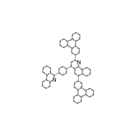 c1ccc2c(c1)nc(-c1ccc(-c3cc(-c4ccc5c6ccccc6c6ccccc6c5c4)nc4c3cc(-c3ccc5c6ccccc6c6ccccc6c5c3)c3ccccc34)cc1)c1ccccc12